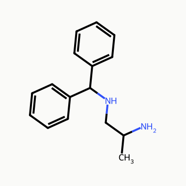 CC(N)CNC(c1ccccc1)c1ccccc1